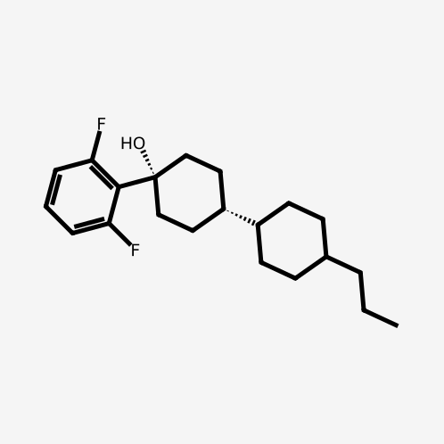 CCCC1CCC([C@H]2CC[C@](O)(c3c(F)cccc3F)CC2)CC1